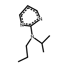 CCCN(c1ncccn1)C(C)C